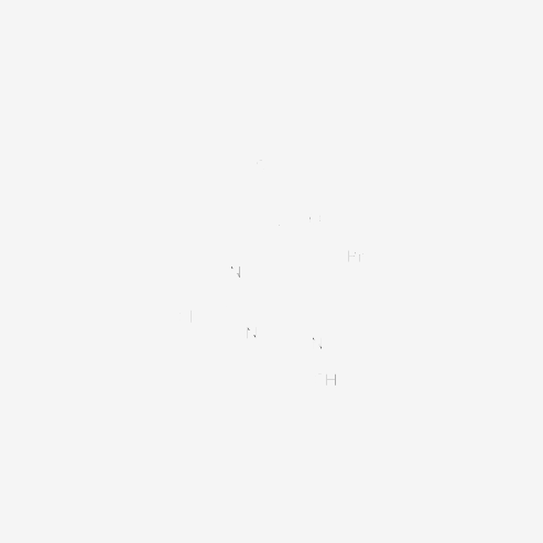 Cn1cc(Br)c2c(C(=O)c3cccs3)nc(Cl)nc21